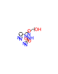 Cn1cc(S(=O)(=O)Nc2nc(OCCC(C)(C)O)cc(-c3cccc4c3cnn4C)n2)cn1